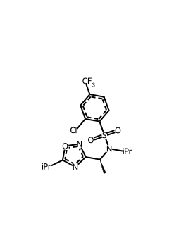 CC(C)c1nc([C@H](C)N(C(C)C)S(=O)(=O)c2ccc(C(F)(F)F)cc2Cl)no1